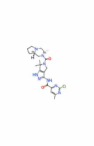 Cc1cc(C(=O)Nc2n[nH]c3c2CN(C(=O)N2C[C@@H]4CCCN4C[C@@H]2C)C3(C)C)nc(Cl)n1